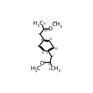 COC(C)Cc1ccc(CC(C)OC)cc1